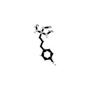 CC(C)O[Si](CCCc1ccc(F)cc1)(OC(C)C)OC(C)C